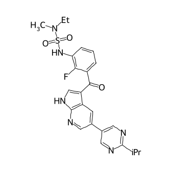 CCN(C)S(=O)(=O)Nc1cccc(C(=O)c2c[nH]c3ncc(-c4cnc(C(C)C)nc4)cc23)c1F